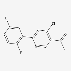 C=C(C)c1cnc(-c2cc(F)ccc2F)cc1Cl